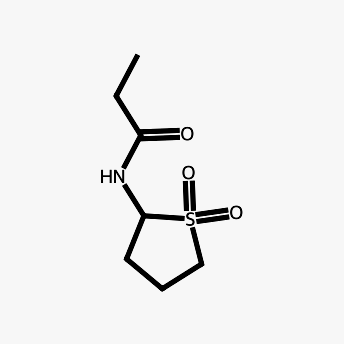 CCC(=O)NC1CCCS1(=O)=O